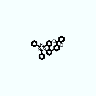 O=c1c2ccccc2oc2ccc(-c3ccccc3-c3ccccc3-c3nc(-c4ccccc4)nc(-c4ccccc4)n3)cc12